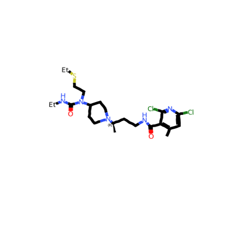 CCNC(=O)N(CCSCC)C1CCN([C@H](C)CCNC(=O)c2c(C)cc(Cl)nc2Cl)CC1